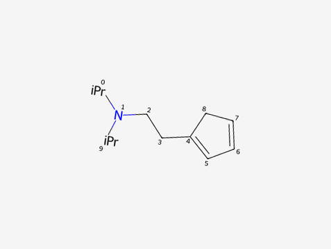 CC(C)N(CCC1=CC=CC1)C(C)C